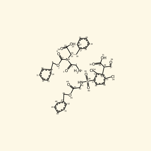 NCC(=O)N(C(=O)OCc1ccccc1)[C@@H](Cc1ccccc1)C(=O)O.O=CC(C(=O)O)c1c(Cl)ccc(S(=O)(=O)NCC(=O)OCc2ccccc2)c1Cl